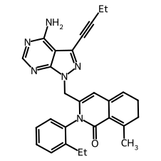 CCC#Cc1nn(Cc2cc3c(c(=O)n2-c2ccccc2CC)=C(C)CCC=3)c2ncnc(N)c12